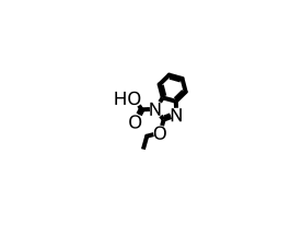 CCOc1nc2ccccc2n1C(=O)O